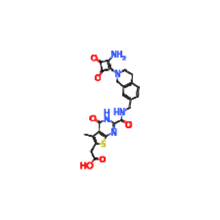 Cc1c(CC(=O)O)sc2nc(C(=O)NCc3ccc4c(c3)CN(c3c(N)c(=O)c3=O)CC4)[nH]c(=O)c12